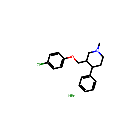 Br.CN1CCC(c2ccccc2)C(COc2ccc(Cl)cc2)C1